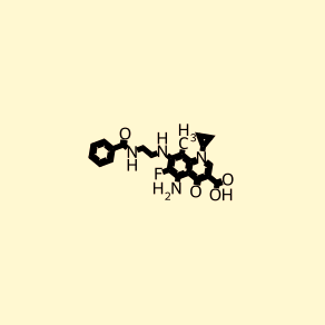 Cc1c(NCCNC(=O)c2ccccc2)c(F)c(N)c2c(=O)c(C(=O)O)cn(C3CC3)c12